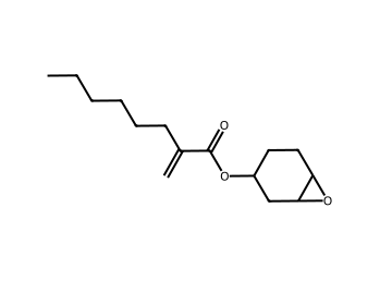 C=C(CCCCCC)C(=O)OC1CCC2OC2C1